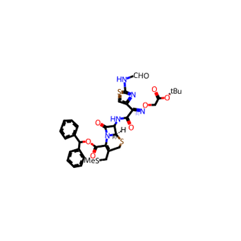 CSCC1=C(C(=O)OC(c2ccccc2)c2ccccc2)N2C(=O)C(NC(=O)/C(=N/OCC(=O)OC(C)(C)C)c3csc(NC=O)n3)[C@H]2SC1